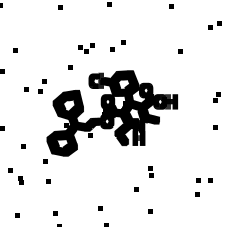 CCC1=C(C(=O)OCCC(c2ccccc2)c2ccccc2)C(c2cccc(Cl)c2)C(C(=O)O)=C(C)N1